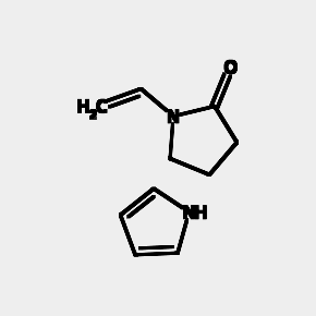 C=CN1CCCC1=O.c1cc[nH]c1